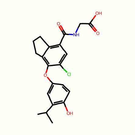 CC(C)c1cc(Oc2c(Cl)cc(C(=O)NCC(=O)O)c3c2CCC3)ccc1O